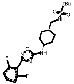 CC(C)(C)S(=O)(=O)NC[C@H]1CC[C@H](Nc2nc(-c3c(F)cccc3F)no2)CC1